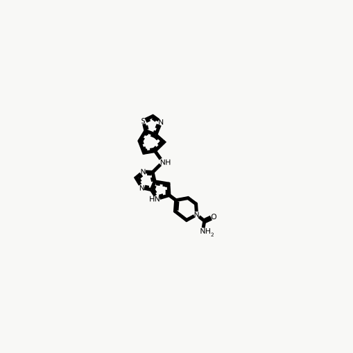 NC(=O)N1CC=C(c2cc3c(Nc4ccc5scnc5c4)ncnc3[nH]2)CC1